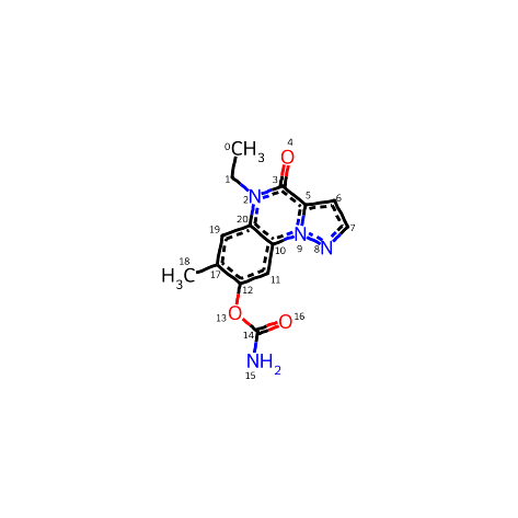 CCn1c(=O)c2ccnn2c2cc(OC(N)=O)c(C)cc21